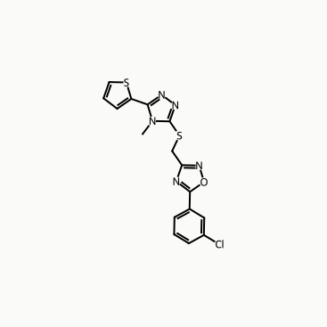 Cn1c(SCc2noc(-c3cccc(Cl)c3)n2)nnc1-c1cccs1